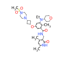 CCN(c1cc(O[C@H]2C[C@@H](N3CCN(S(C)(=O)=O)CC3)C2)cc(C(=O)NCc2c(C)cc(C)[nH]c2=O)c1C)C1CCOCC1